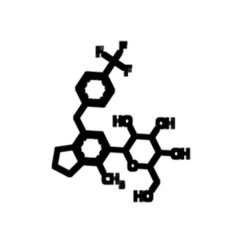 Cc1c(C2OC(CO)C(O)C(O)C2O)cc(Cc2ccc(C(F)(F)F)cc2)c2c1CCC2